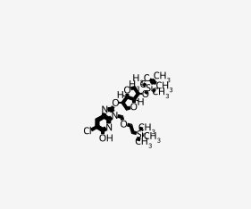 CC(C)(C)[Si](C)(C)O[C@@H]1CO[C@H]2[C@@H]1OC[C@H]2Oc1nc2cc(Cl)c(O)nc2n1COCC[Si](C)(C)C